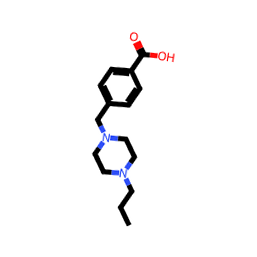 CCCN1CCN(Cc2ccc(C(=O)O)cc2)CC1